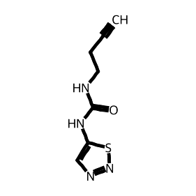 C#CCCNC(=O)Nc1cnns1